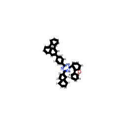 c1ccc2c(c1)-c1cccc3cc(-c4ccc(-c5nc(-c6ccc7ccccc7c6)nc(-c6cccc7oc8ccccc8c67)n5)cc4)cc-2c13